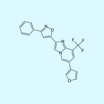 FC(F)(F)c1cc(-c2ccoc2)cn2cc(-c3cc(-c4ccccc4)no3)nc12